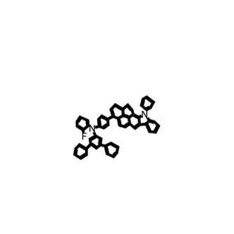 Fc1ccccc1N(c1ccc(-c2ccc3ccc4c5c(ccc2c35)cc2c3ccccc3n(-c3ccccc3)c24)cc1)c1cc(-c2ccccc2)cc(-c2ccccc2)c1